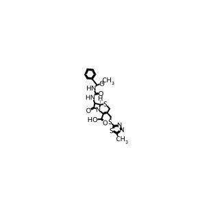 COC(NC(=O)NC1C(=O)N2C(C(=O)O)=C(CSc3nnc(C)s3)CS[C@H]12)c1ccccc1